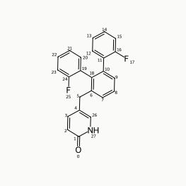 O=c1ccc(Cc2cccc(-c3ccccc3F)c2-c2ccccc2F)c[nH]1